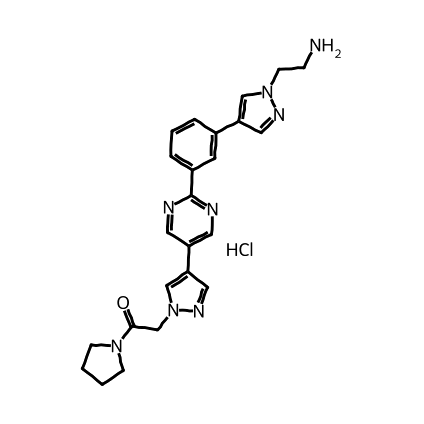 Cl.NCCn1cc(-c2cccc(-c3ncc(-c4cnn(CC(=O)N5CCCC5)c4)cn3)c2)cn1